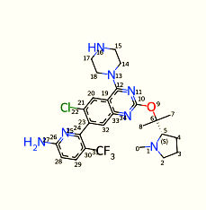 CN1CCC[C@H]1C(C)(C)Oc1nc(N2CCNCC2)c2cc(Cl)c(-c3nc(N)ccc3C(F)(F)F)cc2n1